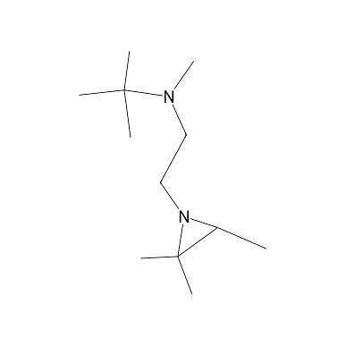 CC1N(CCN(C)C(C)(C)C)C1(C)C